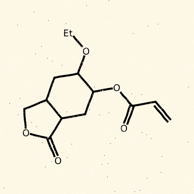 C=CC(=O)OC1CC2C(=O)OCC2CC1OCC